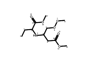 CCC(NC(COOC)CC(=O)OC)C(=O)OC